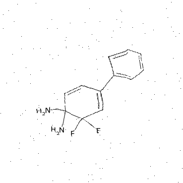 NC1(N)C=CC(c2ccccc2)=CC1(F)F